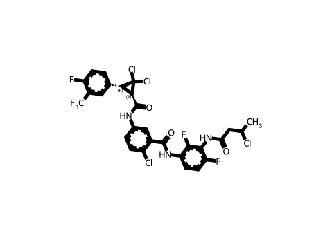 CC(Cl)CC(=O)Nc1c(F)ccc(NC(=O)c2cc(NC(=O)[C@H]3[C@H](c4ccc(F)c(C(F)(F)F)c4)C3(Cl)Cl)ccc2Cl)c1F